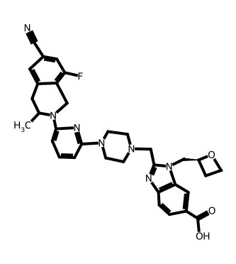 CC1Cc2cc(C#N)cc(F)c2CN1c1cccc(N2CCN(Cc3nc4ccc(C(=O)O)cc4n3C[C@@H]3CCO3)CC2)n1